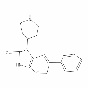 O=c1[nH]c2ccc(-c3ccccc3)cc2n1C1CCNCC1